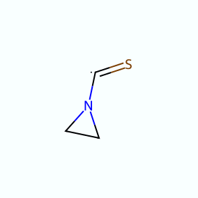 S=[C]N1CC1